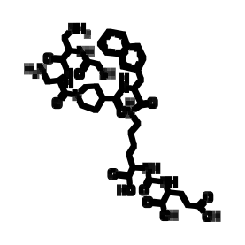 NCC(NC(=O)CS)C(=O)NC(CN)C(=O)N1CCC(C(=O)NC(Cc2ccc3ccccc3c2)C(=O)NCCCCC(NC(=O)NC(CCC(=O)O)C(=O)O)C(=O)O)CC1